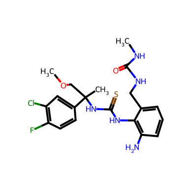 CNC(=O)NCc1cccc(N)c1NC(=S)NC(C)(COC)c1ccc(F)c(Cl)c1